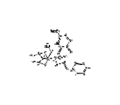 COc1cnc2cccc(C(O)CN3C4CCC3CC(NCC=Cc3ccccc3)C4)c2n1